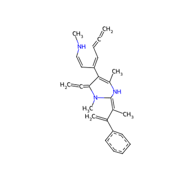 C=C=C/C=C(\C=C/NC)C1=C(C)N/C(=C(\C)C(=C)c2ccccc2)N(C)C1=C=C